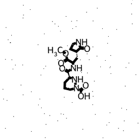 COC(=O)C(C[C@@H]1CCNC1=O)NC(=O)[C@@H]1CCCN(C(=O)O)N1